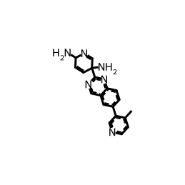 Cc1ccncc1-c1ccc2nc(C3(N)C=CC(N)N=C3)ncc2c1